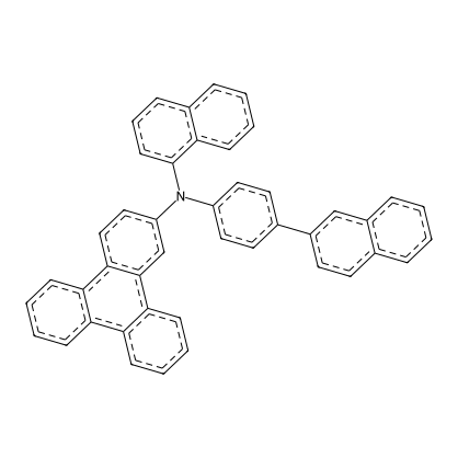 c1ccc2cc(-c3ccc(N(c4ccc5c6ccccc6c6ccccc6c5c4)c4cccc5ccccc45)cc3)ccc2c1